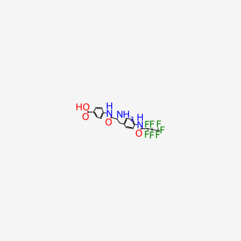 NC(Cc1ccc(NC(=O)C(F)(F)C(F)(F)C(F)(F)F)cc1)C(=O)Nc1ccc(C(=O)O)cc1